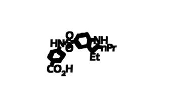 CCCc1[nH]c2ccc(S(=O)(=O)Nc3ccc(C(=O)O)cc3)cc2c1CC